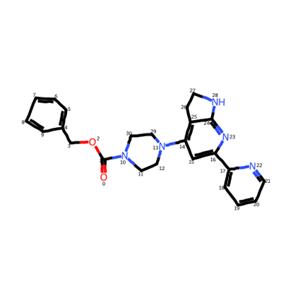 O=C(OCc1ccccc1)N1CCN(c2cc(-c3ccccn3)nc3c2CCN3)CC1